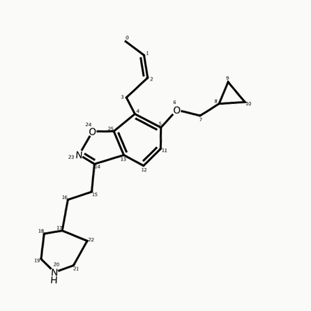 C/C=C\Cc1c(OCC2CC2)ccc2c(CCC3CCNCC3)noc12